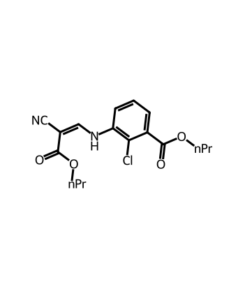 CCCOC(=O)C(C#N)=CNc1cccc(C(=O)OCCC)c1Cl